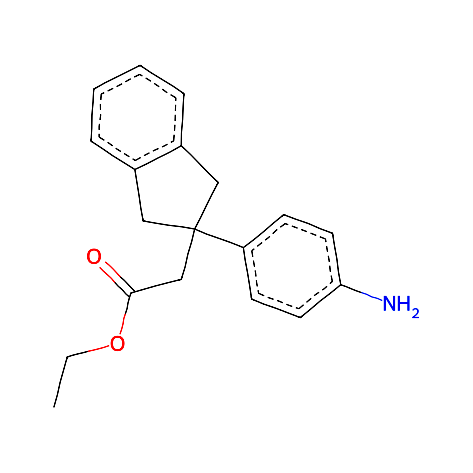 CCOC(=O)CC1(c2ccc(N)cc2)Cc2ccccc2C1